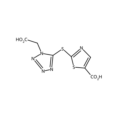 O=C(O)Cn1nnnc1Sc1ncc(C(=O)O)s1